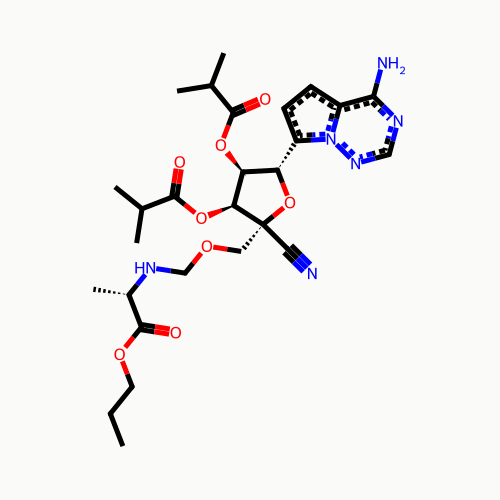 CCCOC(=O)[C@H](C)NCOC[C@@]1(C#N)O[C@@H](c2ccc3c(N)ncnn23)[C@H](OC(=O)C(C)C)[C@@H]1OC(=O)C(C)C